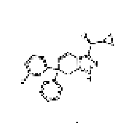 O=C(c1n[nH]c2c1C=CC(c1ccccc1)(c1cccc(F)c1)C2)C1CC1